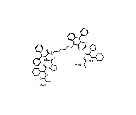 CN[C@@H](C)C(=O)NC(C(=O)N1CCCC1C(=O)N[C@H](C(=O)NCCCCCCNC(=O)C(NC(=O)[C@@H]1CCCN1C(=O)[C@@H](NC(=O)[C@H](C)NC)C1CCCCC1)C(c1ccccc1)c1ccccc1)C(c1ccccc1)c1ccccc1)C1CCCCC1